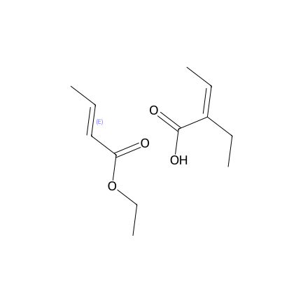 C/C=C/C(=O)OCC.CC=C(CC)C(=O)O